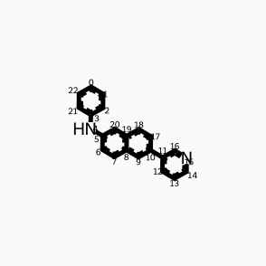 c1ccc(Nc2ccc3cc(-c4cccnc4)ccc3c2)cc1